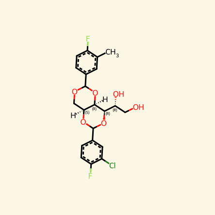 Cc1cc(C2OC[C@@H]3OC(c4ccc(F)c(Cl)c4)O[C@H]([C@H](O)CO)[C@@H]3O2)ccc1F